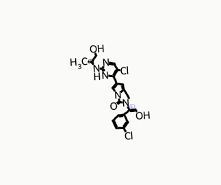 C[C@@H](CO)Nc1ncc(Cl)c(-c2cc3n(c2)C(=O)N(/C(=C/O)c2cccc(Cl)c2)C3)n1